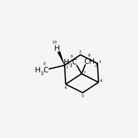 C[C@@H]1CCC2CC1C2(C)C